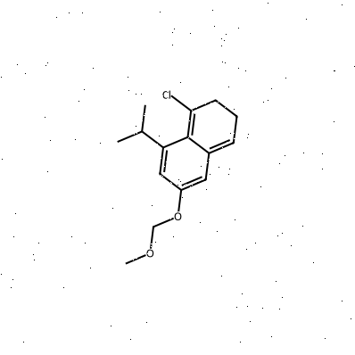 COCOc1cc(C(C)C)c2c(c1)=CCCC=2Cl